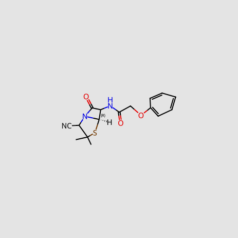 CC1(C)S[C@@H]2C(NC(=O)COc3ccccc3)C(=O)N2C1C#N